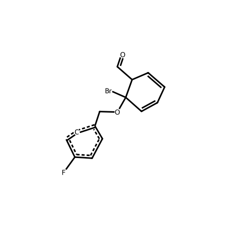 O=CC1C=CC=CC1(Br)OCc1ccc(F)cc1